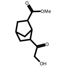 COC(=O)C1CC2CC(C(=O)CO)C1C2